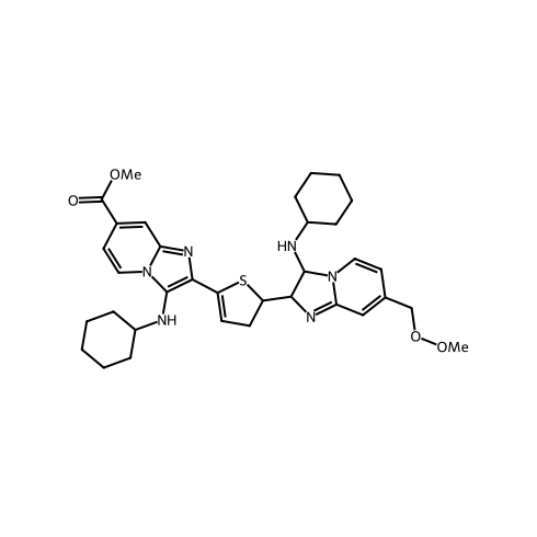 COOCC1=CC2=NC(C3CC=C(c4nc5cc(C(=O)OC)ccn5c4NC4CCCCC4)S3)C(NC3CCCCC3)N2C=C1